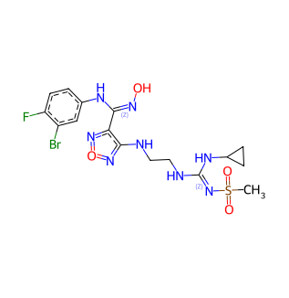 CS(=O)(=O)/N=C(/NCCNc1nonc1/C(=N/O)Nc1ccc(F)c(Br)c1)NC1CC1